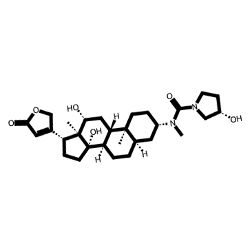 CN(C(=O)N1CC[C@H](O)C1)[C@H]1CC[C@@]2(C)[C@H](CC[C@@H]3[C@@H]2C[C@@H](O)[C@]2(C)[C@@H](C4=CC(=O)OC4)CC[C@]32O)C1